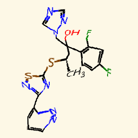 C[C@@H](Sc1nc(-c2cccnn2)ns1)C(O)(Cn1cncn1)c1ccc(F)cc1F